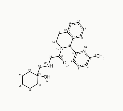 Cc1cccc(C2c3ccccc3CCN2C(=O)CNCC2(O)CCCCC2)n1